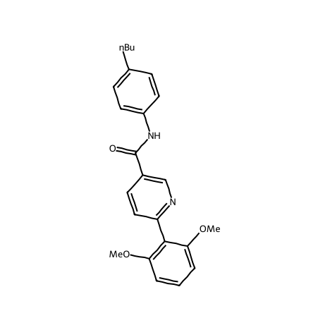 CCCCc1ccc(NC(=O)c2ccc(-c3c(OC)cccc3OC)nc2)cc1